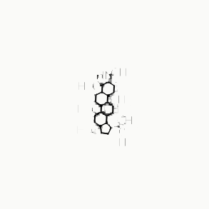 CN[C@H]1CC[C@@]2(C)C(CC[C@]3(C)C2CCC2C4[C@H](C(C)C)CC[C@]4(C)CC[C@]23C)C1(C)C